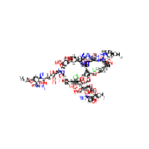 CN[C@H](CC(C)C)C(=O)N[C@H]1C(=O)N[C@@H](CC(N)=O)C(=O)N[C@H]2C(=O)N[C@@H](C(N)=O)c3ccc(O)c(c3)-c3c(O)cc(O)cc3C(C(=O)N3C4C(C(O)C5(O)C6C(C(=O)Nc7ccc(OC)c(C(N)=O)c7O)C65)C43)NC(=O)C[C@H](O)c3ccc(c(Cl)c3)Oc3cc2cc(c3OC2O[C@@H](CO)[C@@H](O)[C@H](O)[C@@H]2O[C@@H]2C[C@](C)(N)[C@H](O)[C@@H](C)O2)Oc2ccc(cc2Cl)[C@H]1O